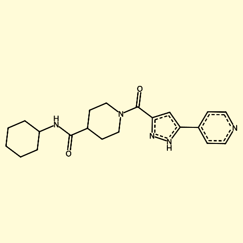 O=C(NC1CCCCC1)C1CCN(C(=O)c2cc(-c3ccncc3)[nH]n2)CC1